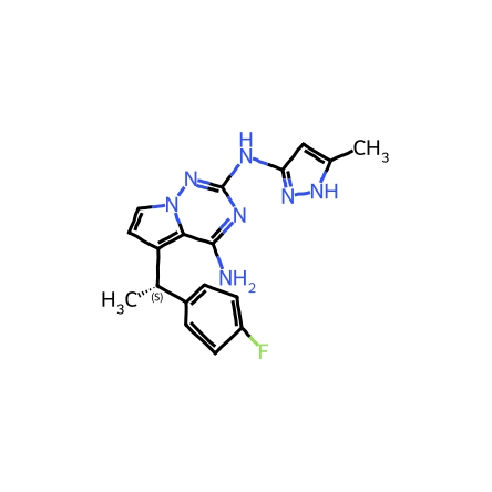 Cc1cc(Nc2nc(N)c3c([C@@H](C)c4ccc(F)cc4)ccn3n2)n[nH]1